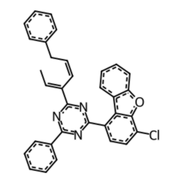 C/C=C(\C=C/Cc1ccccc1)c1nc(-c2ccccc2)nc(-c2ccc(Cl)c3oc4ccccc4c23)n1